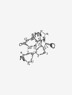 O=C1c2ccc(-c3ccncc3)cc2C2(c3ccc(Cl)cc3)NCCN12